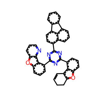 C1=Cc2c(oc3cccc(-c4nc(-c5ccc6c7c(cccc57)-c5ccccc5-6)nc(-c5cccc6oc7cccnc7c56)n4)c23)CC1